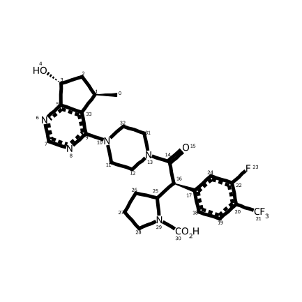 C[C@@H]1C[C@@H](O)c2ncnc(N3CCN(C(=O)[C@@H](c4ccc(C(F)(F)F)c(F)c4)C4CCCN4C(=O)O)CC3)c21